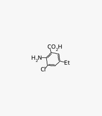 CCc1cc(Cl)c(N)c(C(=O)O)c1